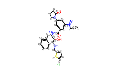 CCNc1cc(C(=O)N[C@@H](Cc2ccccc2)[C@@H](O)CNCc2ccc(Cl)s2)cc(N2CCCC2=O)c1